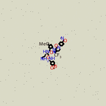 COc1ccc(-n2nc(C(F)(F)F)c3c2C(=O)N(c2ccc(C(=O)N(C)C)cc2)CC3)c(C(=O)N[C@@H](CCCN)CONCc2ccc3c(c2)OCO3)c1